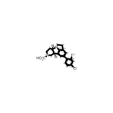 O=C(O)N1CC[C@H]2[C@@H](C1)c1cc(-c3ccc(Cl)cc3F)cc3c1N2CC3